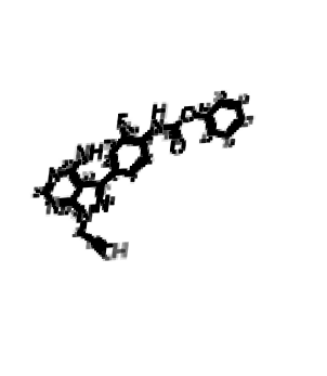 C#CCn1nc(-c2ccc(NC(=O)Oc3ccccc3)c(F)c2)c2c(N)ncnc21